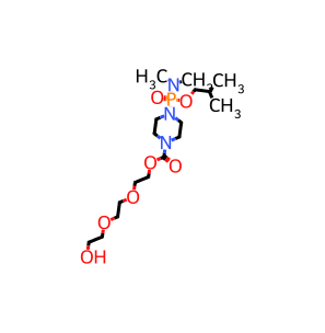 CC(C)COP(=O)(N(C)C)N1CCN(C(=O)OCCOCCOCCO)CC1